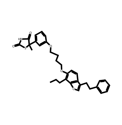 CCCc1c(OCCCCOc2cccc(C3(C)SC(=O)NC3=O)c2)ccc2c(CCc3ccccc3)coc12